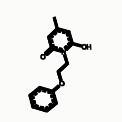 Cc1cc(O)n(CCOc2ccccc2)c(=O)c1